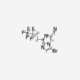 N#Cc1cn2c(Br)cnc2c(CCC(F)(F)C(F)(F)F)n1